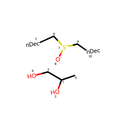 CC(O)CO.CCCCCCCCCCC[S+]([O-])CCCCCCCCCCC